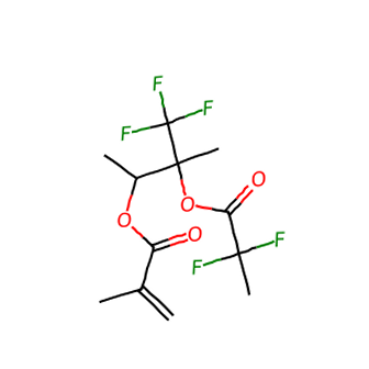 C=C(C)C(=O)OC(C)C(C)(OC(=O)C(C)(F)F)C(F)(F)F